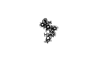 CN(C)C1CCC(Nc2nccc(-c3cccnc3Oc3cc(F)c(C(N[SH](=O)=O)c4ccccc4)c(F)c3F)n2)CC1F